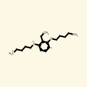 C[CH]c1c(OCCCCC)cccc1OCCCCC